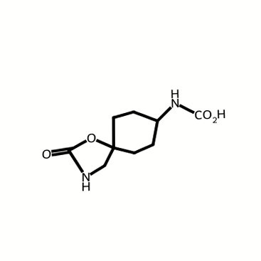 O=C(O)NC1CCC2(CC1)CNC(=O)O2